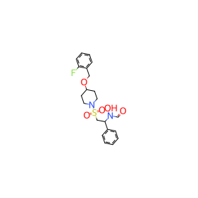 O=CN(O)C(CS(=O)(=O)N1CCC(OCc2ccccc2F)CC1)c1ccccc1